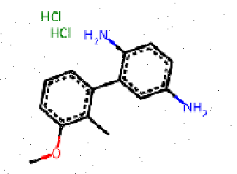 COc1cccc(-c2cc(N)ccc2N)c1C.Cl.Cl